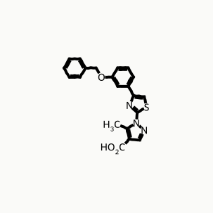 Cc1c(C(=O)O)cnn1-c1nc(-c2cccc(OCc3ccccc3)c2)cs1